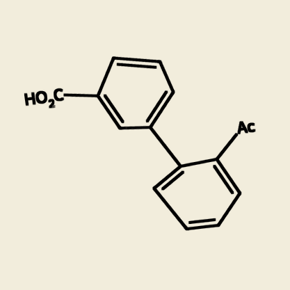 CC(=O)c1ccccc1-c1cccc(C(=O)O)c1